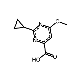 COc1cc(C(=O)O)nc(C2CC2)n1